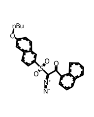 CCCCOc1ccc2cc(S(=O)(=O)C(=[N+]=[N-])C(=O)c3cccc4ccccc34)ccc2c1